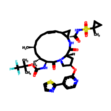 C[C@H]1CC/C=C\C2C[C@@]2(C(=O)NS(=O)(=O)C2(C)CC2)NC(=O)[C@@H]2C[C@@H](Oc3cc(-c4nccs4)ccn3)CN2C(=O)[C@@H](NC(=O)OC(C)(C)C(F)(F)F)[C@H](C)C1